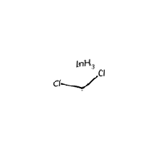 Cl[CH]Cl.[InH3]